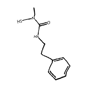 CN(S)C(=O)NCCc1ccccc1